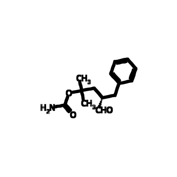 CC(C)(C[C@@H](C=O)Cc1ccccc1)OC(N)=O